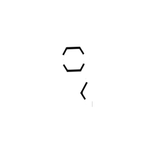 CCC[C@@H]1COCCO1